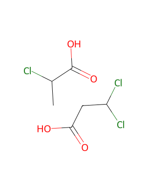 CC(Cl)C(=O)O.O=C(O)CC(Cl)Cl